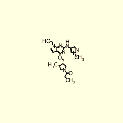 C=CC(=O)N1C[C@H](COc2nc(Nc3cnn(C)c3)nc3c2ccn3CO)[C@@H](C)C1